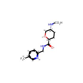 O=C(O)N[C@@H]1CC[C@@H](C(=O)NCc2ccc(C(F)(F)F)cn2)OC1